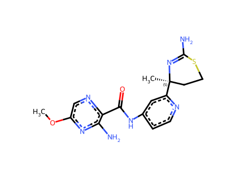 COc1cnc(C(=O)Nc2ccnc([C@]3(C)CCSC(N)=N3)c2)c(N)n1